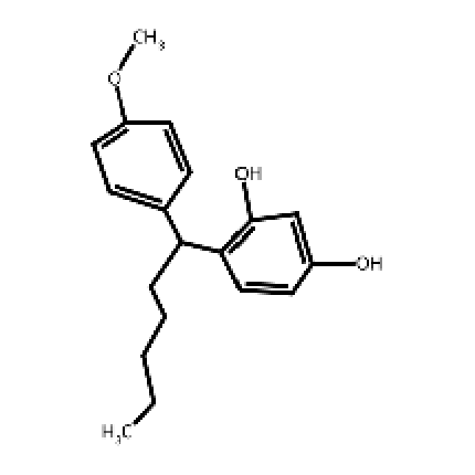 CCCCCC(c1ccc(OC)cc1)c1ccc(O)cc1O